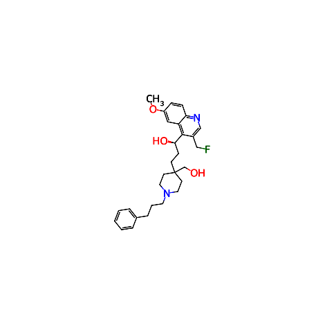 COc1ccc2ncc(CF)c([C@H](O)CCC3(CO)CCN(CCCc4ccccc4)CC3)c2c1